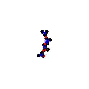 c1ccc(-n2c3ccccc3c3cc(-c4ccc5c(c4)-c4ccccc4C5c4cc5c6c(cccc6n4)-c4nc(-n6c7ccccc7c7cc(-c8ccc9c(c8)c8ccccc8n9-c8ccccc8)ccc76)ccc4-5)ccc32)cc1